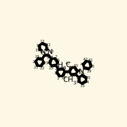 Cc1ccc(-c2ccc(-c3nc4ccccn4c3-c3ccccc3)cc2)cc1-c1cc2c3ccccc3n(-c3ccccc3)c2cc1C